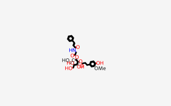 COc1cc(CCC(=O)O[C@@H]([C@H](O)[C@H](O)CO)[C@@H](OC(=O)CNC(=O)C=Cc2ccccc2)C(=O)O)ccc1O